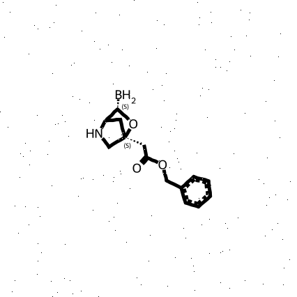 B[C@@H]1O[C@@]2(CC(=O)OCc3ccccc3)CNC1C2